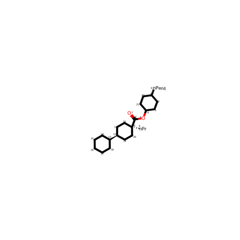 CCCCCC1CCC(OC(=O)[C@]2(CCC)CC[C@H](C3CCCCC3)CC2)CC1